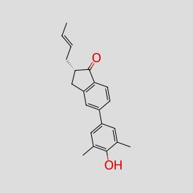 CC=CC[C@H]1Cc2cc(-c3cc(C)c(O)c(C)c3)ccc2C1=O